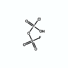 O=P(O)(Cl)OS(=O)(=O)F